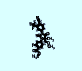 COC[C@]1(C)C(=O)N(c2ccc(C#N)c(C(F)(F)F)c2)C(=S)N1c1ccc(C(=O)OC)c(F)c1